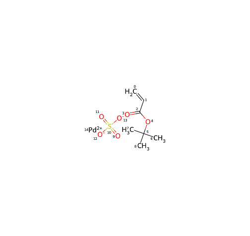 C=CC(=O)OC(C)(C)C.O=S(=O)([O-])[O-].[Pd+2]